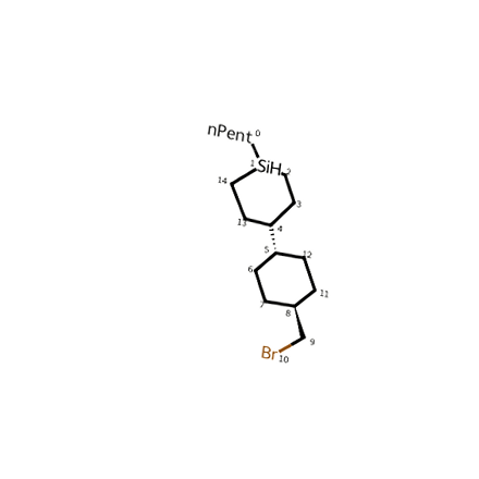 CCCCC[SiH]1CCC([C@H]2CC[C@H](CBr)CC2)CC1